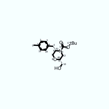 Cc1ccc(C[C@H]2CO[C@@H](CO)CN2C(=O)OC(C)(C)C)cc1